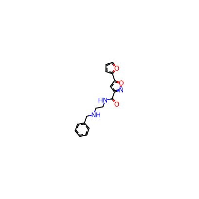 O=C(NCCNCc1ccccc1)c1cc(-c2ccco2)on1